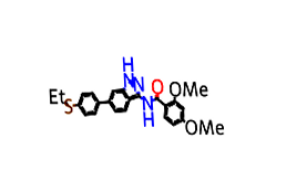 CCSc1ccc(-c2ccc3c(NC(=O)c4ccc(OC)cc4OC)n[nH]c3c2)cc1